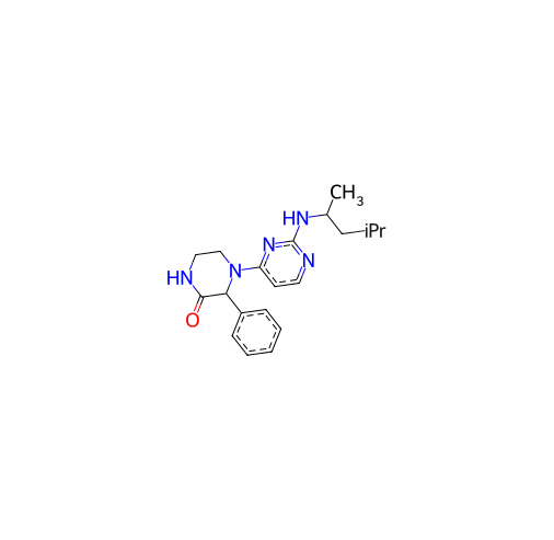 CC(C)CC(C)Nc1nccc(N2CCNC(=O)C2c2ccccc2)n1